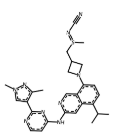 Cc1nn(C)cc1-c1nccc(Nc2cc3c(C(C)C)ccc(N4CC(C/S(C)=N/C#N)C4)c3cn2)n1